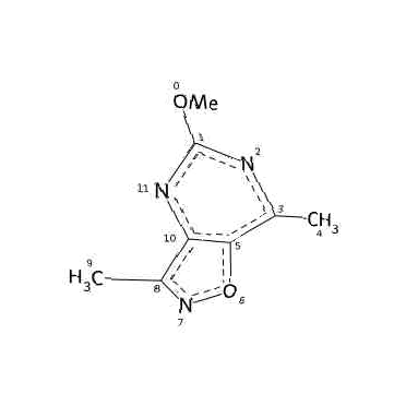 COc1nc(C)c2onc(C)c2n1